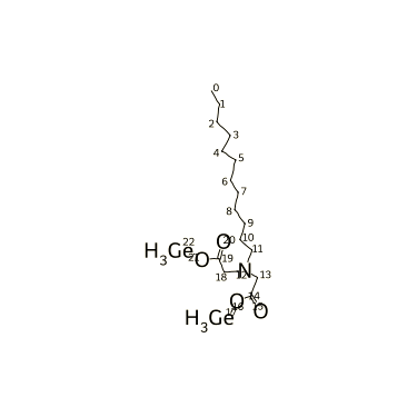 CCCCCCCCCCCCN(CC(=O)[O][GeH3])CC(=O)[O][GeH3]